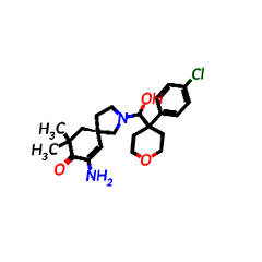 CC1(C)C[C@@]2(C=C(N)C1=O)CCN(C(O)C1(c3ccc(Cl)cc3)CCOCC1)C2